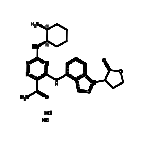 Cl.Cl.NC(=O)c1nnc(N[C@@H]2CCCC[C@@H]2N)nc1Nc1cccc2c1ccn2C1CCOC1=O